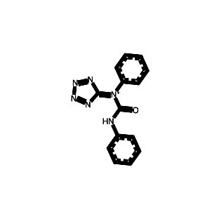 O=C(Nc1ccccc1)[N+](=C1N=NN=N1)c1ccccc1